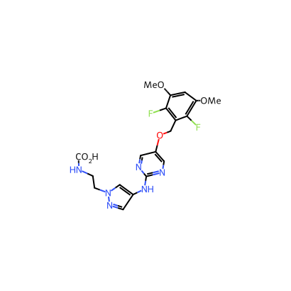 COc1cc(OC)c(F)c(COc2cnc(Nc3cnn(CCNC(=O)O)c3)nc2)c1F